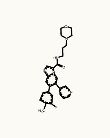 Cc1ccc(-c2cc3ncc(C(=O)NCCCN4CCOCC4)n3cc2-c2cccnc2)cc1F